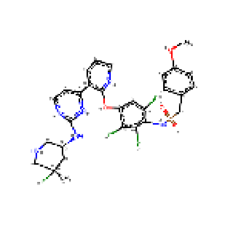 COc1ccc(CS(=O)(=O)Nc2c(F)cc(Oc3ncccc3-c3ccnc(N[C@@H]4CNC[C@@](C)(F)C4)n3)c(F)c2F)cc1